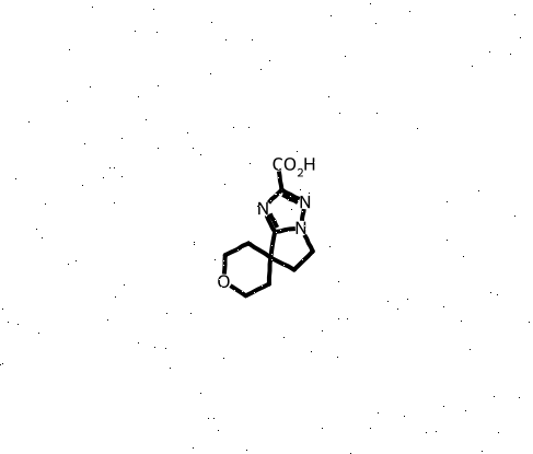 O=C(O)c1nc2n(n1)CCC21CCOCC1